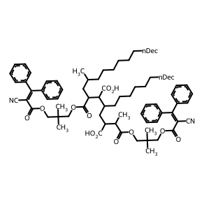 CCCCCCCCCCCCCCCCC(C)CC(C(=O)OCC(C)(C)COC(=O)C(C#N)=C(c1ccccc1)c1ccccc1)C(C(=O)O)C(CCCCCCCCCCCCCCCC)CC(C(=O)O)C(C)C(=O)OCC(C)(C)COC(=O)C(C#N)=C(c1ccccc1)c1ccccc1